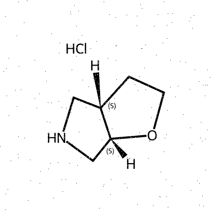 C1C[C@H]2CNC[C@H]2O1.Cl